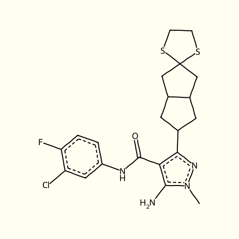 Cn1nc(C2CC3CC4(CC3C2)SCCS4)c(C(=O)Nc2ccc(F)c(Cl)c2)c1N